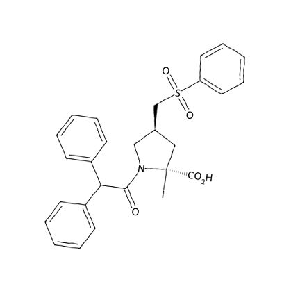 O=C(C(c1ccccc1)c1ccccc1)N1C[C@@H](CS(=O)(=O)c2ccccc2)C[C@]1(I)C(=O)O